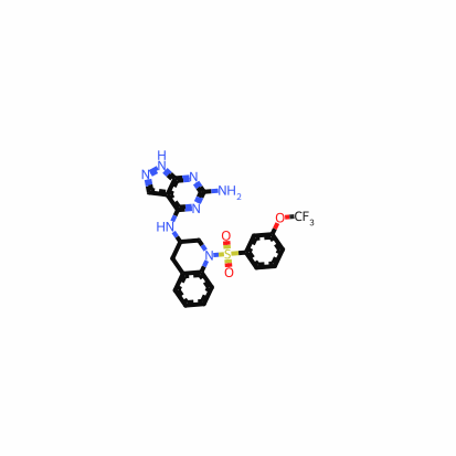 Nc1nc(NC2Cc3ccccc3N(S(=O)(=O)c3cccc(OC(F)(F)F)c3)C2)c2cn[nH]c2n1